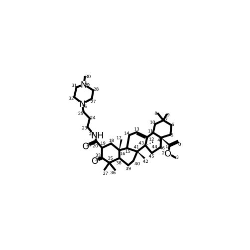 C=C(OC)[C@]12CCC(C)(C)CC1C1=CCC3[C@@]4(C)CC(C(=O)NCCCN5CCN(C)CC5)C(=O)C(C)(C)C4CC[C@@]3(C)[C@]1(C)CC2